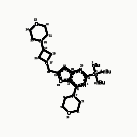 CCC[CH2][Sn]([CH2]CCC)([CH2]CCC)[c]1nc(N2CCOCC2)c2oc(CN3CC(N4CCOCC4)C3)cc2n1